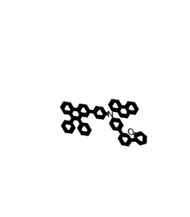 c1ccc(-c2c(-c3ccccc3)c3cc(-c4ccc(N(c5ccc(-c6cccc7c6oc6ccccc67)cc5)c5cccc6c5ccc5ccccc56)cc4)ccc3c3ccccc23)cc1